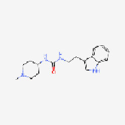 CN1CCC(NC(=O)NCCc2c[nH]c3ccccc23)CC1